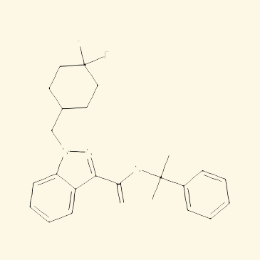 CC(C)(NC(=O)c1nn(CC2CCC(F)(F)CC2)c2ccccc12)c1ccccc1